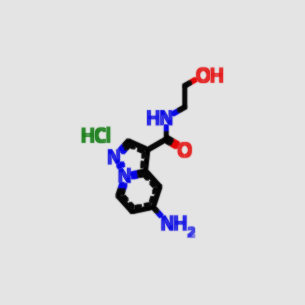 Cl.Nc1ccn2ncc(C(=O)NCCO)c2c1